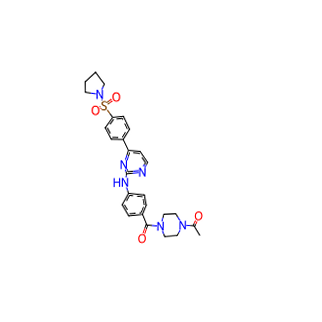 CC(=O)N1CCN(C(=O)c2ccc(Nc3nccc(-c4ccc(S(=O)(=O)N5CCCC5)cc4)n3)cc2)CC1